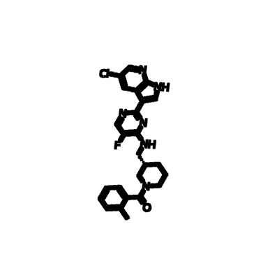 Cc1ccccc1C(=O)N1CCC[C@@H](CNc2nc(-c3c[nH]c4ncc(Cl)cc34)ncc2F)C1